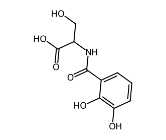 O=C(NC(CO)C(=O)O)c1cccc(O)c1O